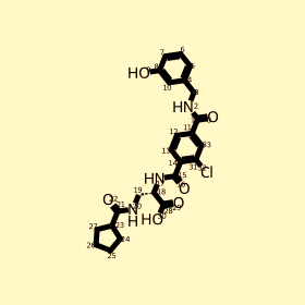 O=C(NCc1cccc(O)c1)c1ccc(C(=O)N[C@@H](CNC(=O)C2CCCC2)C(=O)O)c(Cl)c1